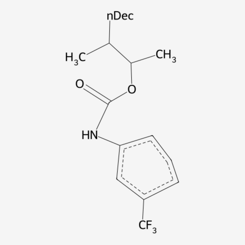 CCCCCCCCCCC(C)C(C)OC(=O)Nc1cccc(C(F)(F)F)c1